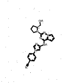 N#Cc1ccc(-n2cnc(Nc3nc(N4CCC[C@H]4CO)nn4cccc34)c2)cc1